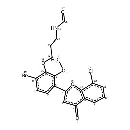 COc1c(-c2cc(=O)c3cccc(Cl)c3o2)ccc(Br)c1OCCCNC=O